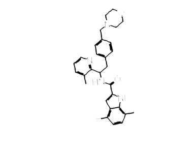 Cc1cccnc1C(Cc1ccc(CN2CCOCC2)cc1)NC(=O)c1cc2c(F)ccc(C)c2[nH]1